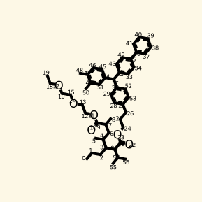 CCCC(C(C)CC(C)C(=O)OCCOCCOCC)C(C(=O)OCCCc1ccc(C(c2ccc(-c3ccccc3)cc2)c2ccc(C)c(C)c2)cc1)C(C)C